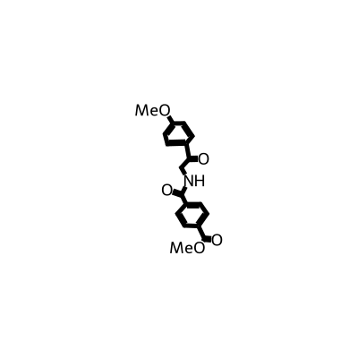 COC(=O)c1ccc(C(=O)NCC(=O)c2ccc(OC)cc2)cc1